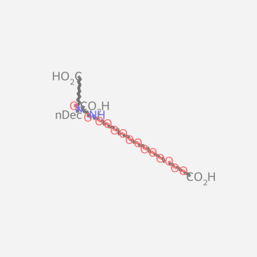 CCCCCCCCCCCN(C(=O)CCCCCCCCCC(=O)O)C(CCC(=O)NCCOCCOCCOCCOCCOCCOCCOCCOCCOCCOCCOCCOCCC(=O)O)C(=O)O